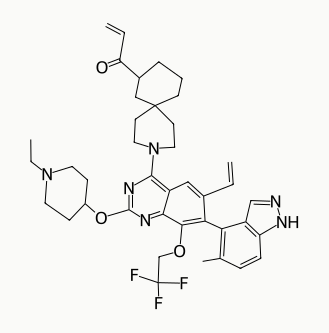 C=CC(=O)C1CCCC2(CCN(c3nc(OC4CCN(CC)CC4)nc4c(OCC(F)(F)F)c(-c5c(C)ccc6[nH]ncc56)c(C=C)cc34)CC2)C1